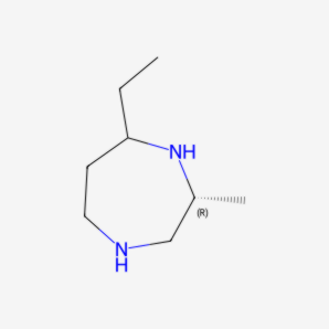 CCC1CCNC[C@@H](C)N1